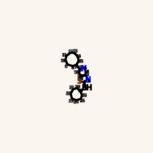 B(c1nc2cnc(C3CCCCCCCC3)cc2s1)C1CCCCCCC1